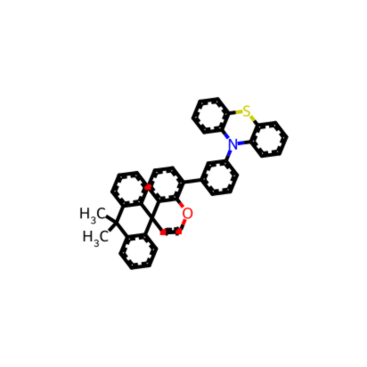 CC1(C)c2ccccc2C2(c3ccccc3Oc3c(-c4cccc(N5c6ccccc6Sc6ccccc65)c4)cccc32)c2ccccc21